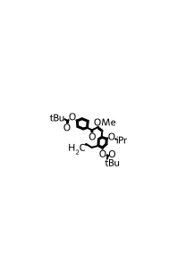 C=CCc1cc(C=C(OC)C(=O)c2ccc(OC(=O)C(C)(C)C)cc2)c(OC(C)C)cc1OC(=O)C(C)(C)C